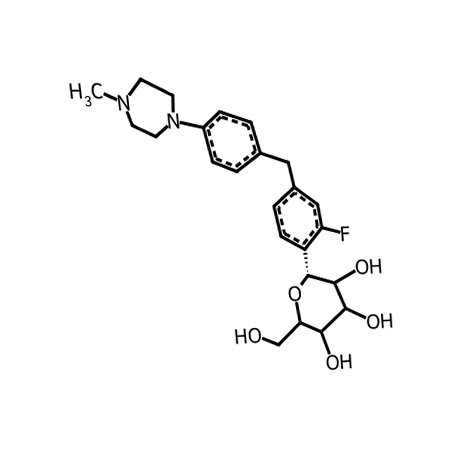 CN1CCN(c2ccc(Cc3ccc([C@H]4OC(CO)C(O)C(O)C4O)c(F)c3)cc2)CC1